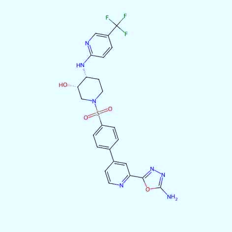 Nc1nnc(-c2cc(-c3ccc(S(=O)(=O)N4CC[C@@H](Nc5ccc(C(F)(F)F)cn5)[C@@H](O)C4)cc3)ccn2)o1